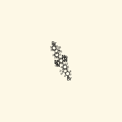 CC1(C)c2cc(Br)ccc2-c2ccc(-c3c4c(c(-c5ccc6c(c5)C(C)(C)c5cc(Br)ccc5-6)c5nsnc35)N=S=N4)cc21